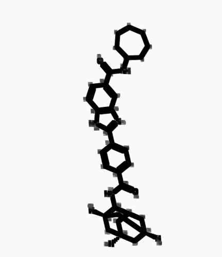 O=C(NC1CCCCCC1)c1ccc2[nH]c(-c3ccc(C(=O)NC4C5C[C@H]6C[C@@H](C5)C[C@@H]4C6)cc3)nc2c1